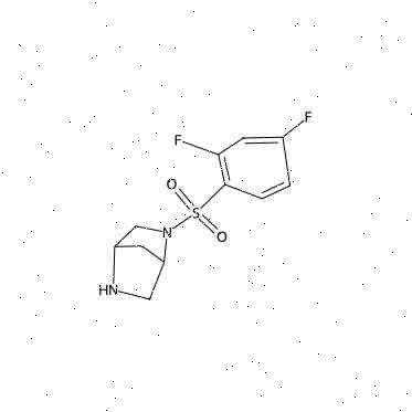 O=S(=O)(c1ccc(F)cc1F)N1CC2CC1CN2